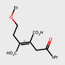 CCCC(=O)C/C(C(=O)O)=C(/CCOCC)C(=O)O